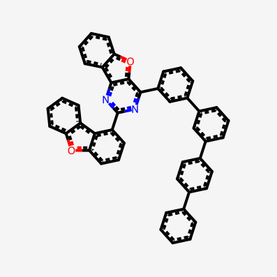 c1ccc(-c2ccc(-c3cccc(-c4cccc(-c5nc(-c6cccc7oc8ccccc8c67)nc6c5oc5ccccc56)c4)c3)cc2)cc1